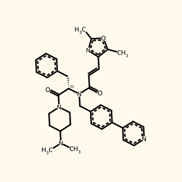 Cc1nc(C=CC(=O)N(Cc2ccc(-c3ccncc3)cc2)[C@@H](Cc2ccccc2)C(=O)N2CCC(N(C)C)CC2)c(C)o1